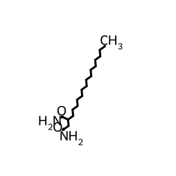 CCCCCCCCCCCCCCCCC(CC(N)=O)C(N)=O